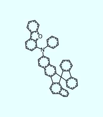 c1ccc(N(c2ccc3cc4c(cc3c2)C2(c3ccccc3-c3ccccc32)c2c-4ccc3ccccc23)c2cccc3c2oc2ccccc23)cc1